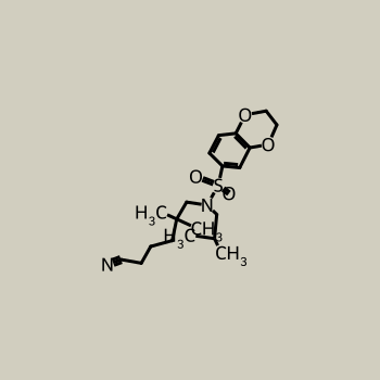 CC(C)CN(CC(C)(C)CCCC#N)S(=O)(=O)c1ccc2c(c1)OCCO2